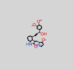 COc1ccc(C(O)C#Cc2cccc3c2C(=Cc2[nH]ccc2OC)C(=O)N3)cc1OC